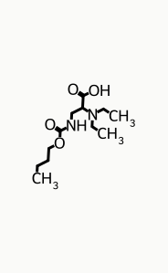 CCCCOC(=O)NCC(C(=O)O)N(CC)CC